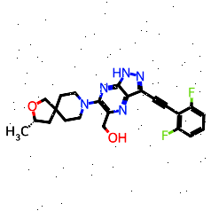 C[C@H]1CC2(CCN(c3nc4[nH]nc(C#Cc5c(F)cccc5F)c4nc3CO)CC2)CO1